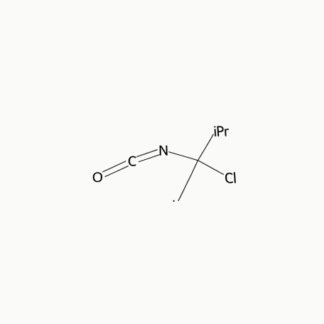 [CH2]C(Cl)(N=C=O)C(C)C